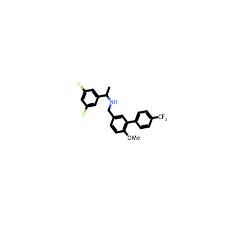 COc1ccc(CNC(C)c2cc(F)cc(F)c2)cc1-c1ccc(C(F)(F)F)cc1